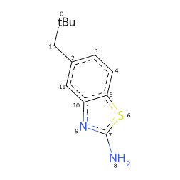 CC(C)(C)Cc1ccc2sc(N)nc2c1